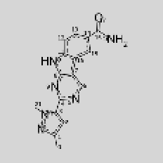 Cc1cc(-c2ncc3c(n2)[nH]c2ccc(C(N)=O)cc23)n(C)n1